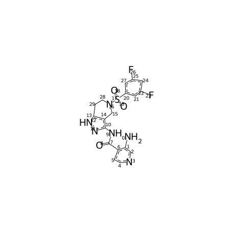 Nc1cnccc1C(=O)Nc1n[nH]c2c1CN(S(=O)(=O)c1cc(F)cc(F)c1)CC2